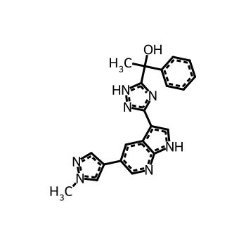 Cn1cc(-c2cnc3[nH]cc(-c4n[nH]c(C(C)(O)c5ccccc5)n4)c3c2)cn1